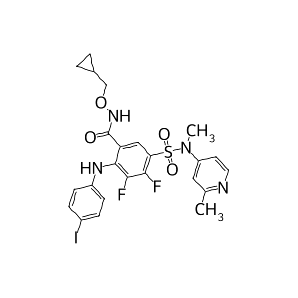 Cc1cc(N(C)S(=O)(=O)c2cc(C(=O)NOCC3CC3)c(Nc3ccc(I)cc3)c(F)c2F)ccn1